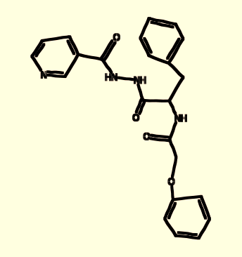 O=C(COc1ccccc1)NC(Cc1ccccc1)C(=O)NNC(=O)c1cccnc1